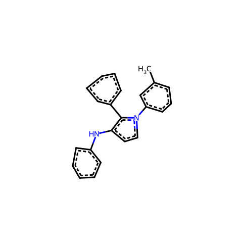 Cc1cccc(-n2ccc(Nc3ccccc3)c2-c2ccccc2)c1